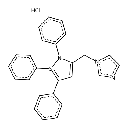 C1=C(Cn2ccnc2)N(c2ccccc2)S(c2ccccc2)=C1c1ccccc1.Cl